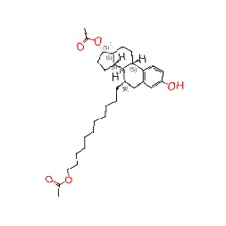 CC(=O)OCCCCCCCCCCC[C@@H]1Cc2cc(O)ccc2[C@H]2CC[C@]3(C)[C@@H](OC(C)=O)CC[C@H]3[C@H]12